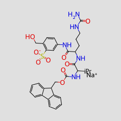 CC(C)C(NC(=O)OCC1c2ccccc2-c2ccccc21)C(=O)NC(CCCNC(N)=O)C(=O)Nc1ccc(CO)c(S(=O)(=O)[O-])c1.[Na+]